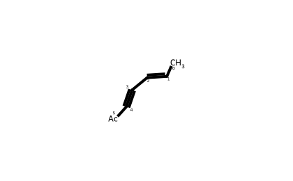 CC=CC#CC(C)=O